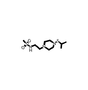 CC(C)SN1CCN(CCNS(C)(=O)=O)CC1